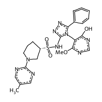 COc1ncnc(O)c1-n1c(NS(=O)(=O)[C@H]2CCCN(c3ncc(C)cn3)C2)nnc1C1=C=C=CC=C1